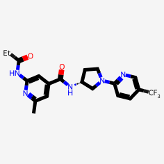 CCC(=O)Nc1cc(C(=O)N[C@@H]2CCN(c3ccc(C(F)(F)F)cn3)C2)cc(C)n1